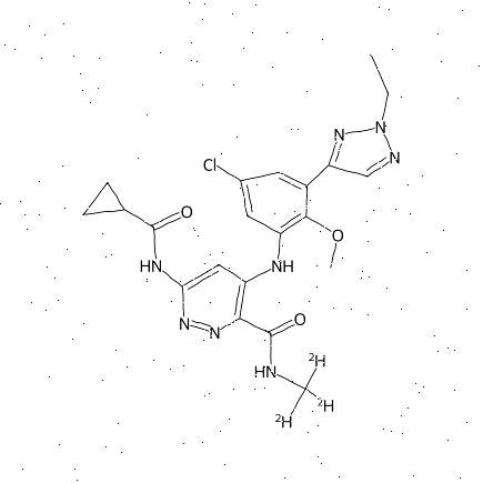 [2H]C([2H])([2H])NC(=O)c1nnc(NC(=O)C2CC2)cc1Nc1cc(Cl)cc(-c2cnn(CC)n2)c1OC